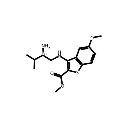 COC(=O)c1sc2ccc(OC)cc2c1NC[C@H](N)C(C)C